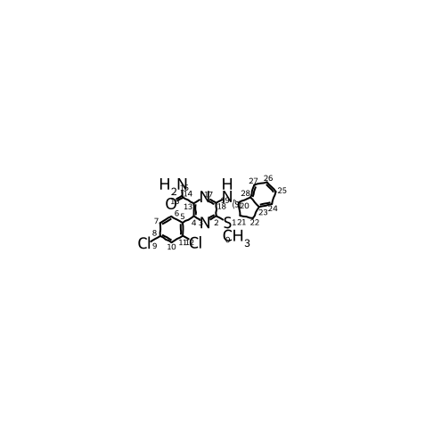 CSc1nc(-c2ccc(Cl)cc2Cl)c(C(N)=O)nc1N[C@H]1CCc2ccccc21